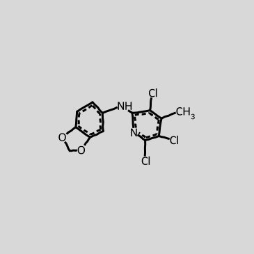 Cc1c(Cl)c(Cl)nc(Nc2ccc3c(c2)OCO3)c1Cl